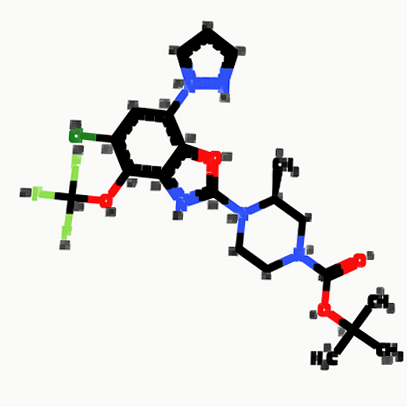 C[C@H]1CN(C(=O)OC(C)(C)C)CCN1c1nc2c(OC(F)(F)F)c(Cl)cc(-n3cccn3)c2o1